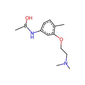 CB(O)Nc1ccc(C)c(OCCN(C)C)c1